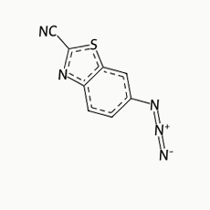 N#Cc1nc2ccc(N=[N+]=[N-])cc2s1